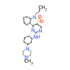 C=CCN1c2ccccc2-c2nc(Nc3cccc(N4CCN(C)CC4)c3)ncc2S1(=O)=O